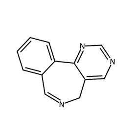 C1=NCc2cncnc2-c2ccccc21